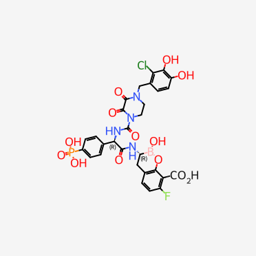 O=C(O)c1c(F)ccc2c1OB(O)[C@@H](NC(=O)[C@H](NC(=O)N1CCN(Cc3ccc(O)c(O)c3Cl)C(=O)C1=O)c1ccc(P(=O)(O)O)cc1)C2